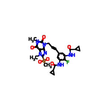 Cn1c(=O)c2c(nc(S(C)(=O)=O)n2C)n(CC#Cc2cc(NC(=O)C3CC3)c(F)c(NC(=O)C3CC3)c2)c1=O